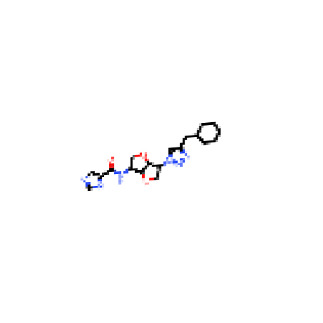 O=C(NC1COC2C1OCC2n1cc(CC2CCCCC2)nn1)C1=NC=NC1